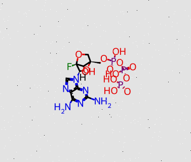 Nc1nc(N)c2ncn([C@@H]3O[C@@]4(COP(=O)(O)OP(=O)(O)OP(=O)(O)O)CO[C@]3(F)[C@@H]4O)c2n1